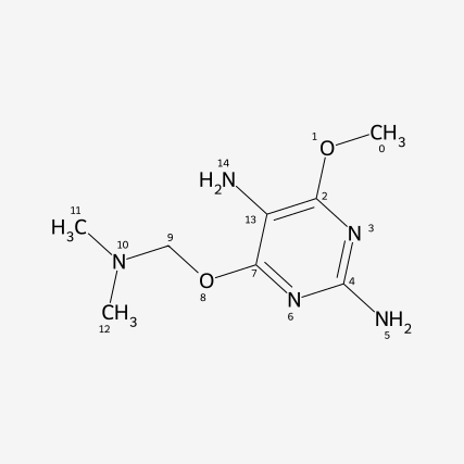 COc1nc(N)nc(OCN(C)C)c1N